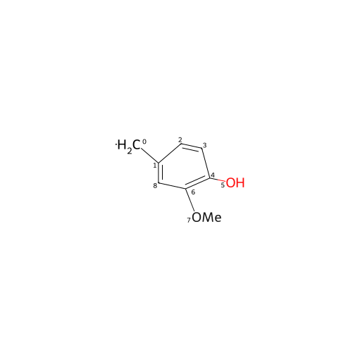 [CH2]c1ccc(O)c(OC)c1